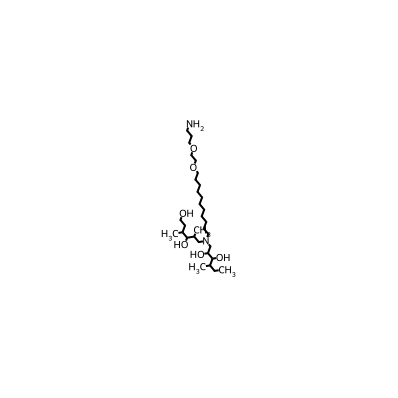 CCC(C)C(O)C(O)CN(CCCCCCCCCCCOCCOCCCN)CC(C)C(O)C(C)CCO